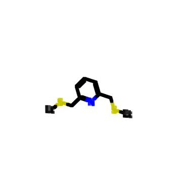 CCSCc1cccc(CSCC)n1